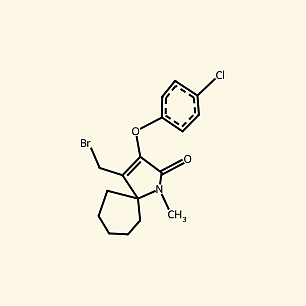 CN1C(=O)C(Oc2ccc(Cl)cc2)=C(CBr)C12CCCCC2